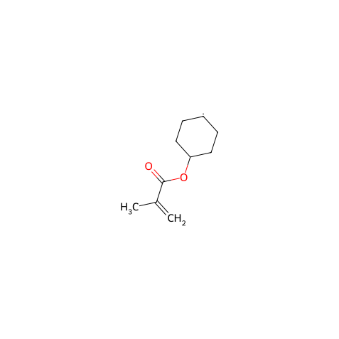 C=C(C)C(=O)OC1CC[CH]CC1